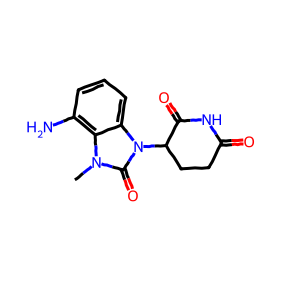 Cn1c(=O)n(C2CCC(=O)NC2=O)c2cccc(N)c21